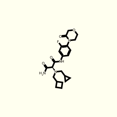 NC(=O)[C@@H](C(=O)Nc1ccc(N2CCOCC2=O)c(F)c1)N(CC1CCC1)CC1CC1